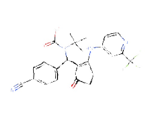 CC(C)(C)N(C(=O)O)C(C1=C(Nc2ccnc(C(F)(F)F)c2)CCC1=O)c1ccc(C#N)cc1